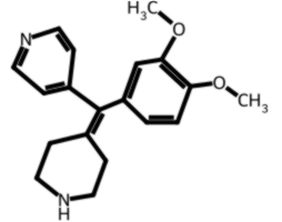 COc1ccc(C(=C2CCNCC2)c2ccncc2)cc1OC